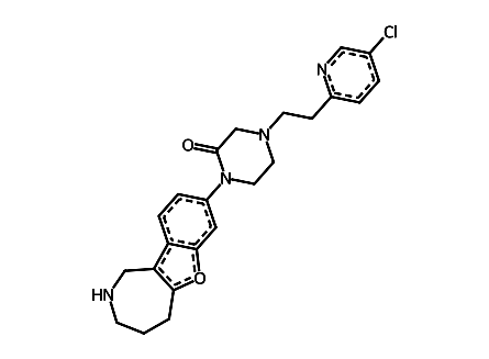 O=C1CN(CCc2ccc(Cl)cn2)CCN1c1ccc2c3c(oc2c1)CCCNC3